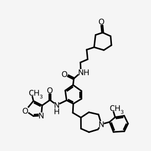 Cc1ccccc1N1CCCC(Cc2ccc(C(=O)NCCCC3CCCC(=O)C3)cc2NC(=O)c2ncoc2C)CC1